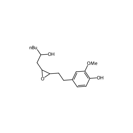 CCCCC(O)CC1OC1CCc1ccc(O)c(OC)c1